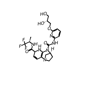 C[C@@H](NC(=O)C1C=CC2=C(N1)N(C(=O)Nc1cccc(OC[C@H](O)CO)n1)[C@H]1CCN2C1)C(F)(F)F